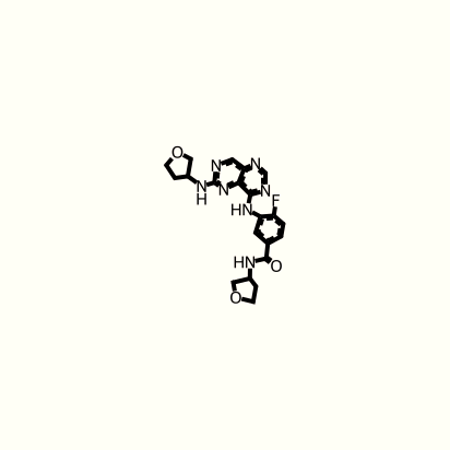 O=C(NC1CCOC1)c1ccc(F)c(Nc2ncnc3cnc(NC4CCOC4)nc23)c1